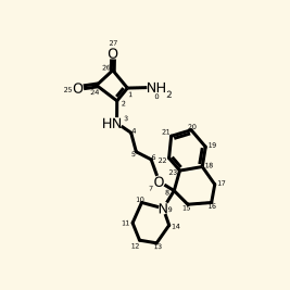 Nc1c(NCCCOC2(N3CCCCC3)CCCc3ccccc32)c(=O)c1=O